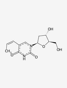 C/C=C\c1cn([C@H]2C[C@H](O)[C@@H](CO)O2)c(=O)[nH]c1=O